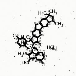 CC1=CC(C)(C)c2cc3c(cc21)-c1cc2c(cc1C3)C(C)(C)[C]([Zr](=[CH]c1ccc(Cl)cc1)(=[CH]c1ccc(Cl)cc1)[C]1=C(C)C(C(C)(C)C)=CC1C)=C2C.Cl.Cl